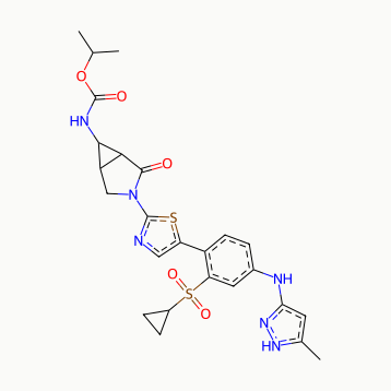 Cc1cc(Nc2ccc(-c3cnc(N4CC5C(NC(=O)OC(C)C)C5C4=O)s3)c(S(=O)(=O)C3CC3)c2)n[nH]1